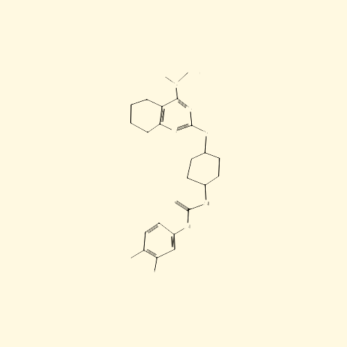 CN(C)c1nc(NC2CCC(NC(=S)Nc3ccc(F)c(C(F)(F)F)c3)CC2)nc2c1CCCC2